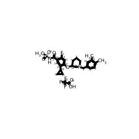 Cc1ccc(CN2CCCC(Oc3cc(F)c(C(=O)NS(C)(=O)=O)cc3C3CC3)C2)cc1C.O=C(O)C(F)(F)F